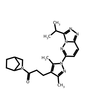 Cc1nn(-c2ccc3nnc(C(C)C)n3n2)c(C)c1CCC(=O)N1CC2CCC1C2